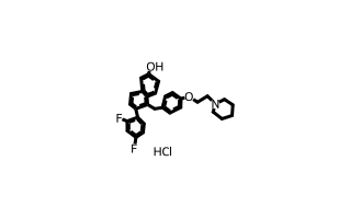 Cl.Oc1ccc2c(Cc3ccc(OCCN4CCCCC4)cc3)c(-c3ccc(F)cc3F)ccc2c1